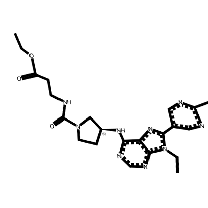 CCOC(=O)CCNC(=O)N1CC[C@H](Nc2ncnc3c2nc(-c2cnc(C)nc2)n3CC)C1